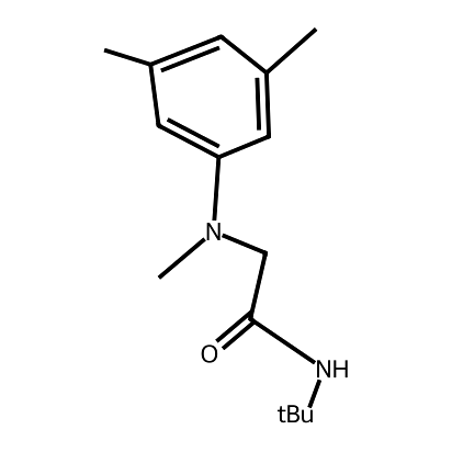 Cc1cc(C)cc(N(C)CC(=O)NC(C)(C)C)c1